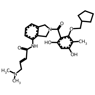 Cc1c(O)cc(O)c(C(=O)N2Cc3cccc(NC(=O)/C=C/CN(C)C)c3C2)c1OCC1CCCC1